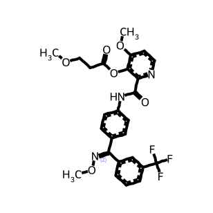 COCCC(=O)Oc1c(OC)ccnc1C(=O)Nc1ccc(/C(=N/OC)c2cccc(C(F)(F)F)c2)cc1